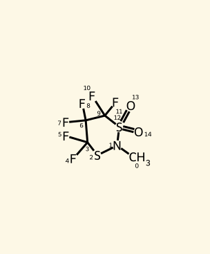 CN1SC(F)(F)C(F)(F)C(F)(F)S1(=O)=O